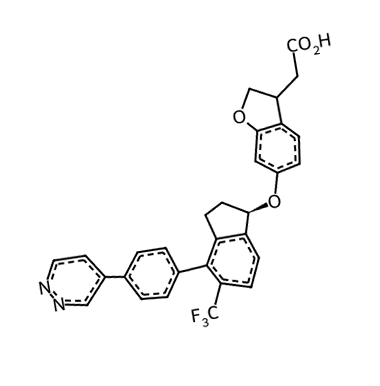 O=C(O)CC1COc2cc(O[C@@H]3CCc4c3ccc(C(F)(F)F)c4-c3ccc(-c4ccnnc4)cc3)ccc21